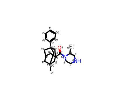 CCC1CNCCN1C(=O)C12CC3C[C@@](C)(C1)C[C@](c1ccccc1)(C3)C2